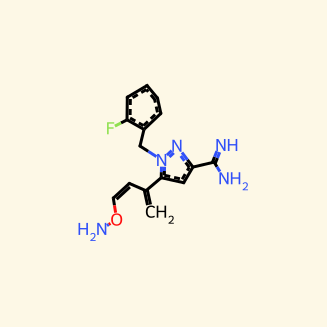 C=C(/C=C\ON)c1cc(C(=N)N)nn1Cc1ccccc1F